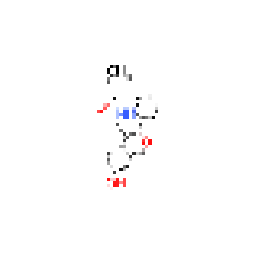 CCCC(=O)NCC1=c2ccc(O)cc2=COC1c1ccccc1